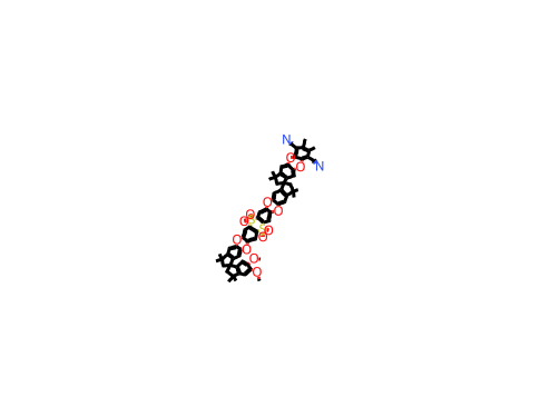 COc1cc2c(cc1OC)C1(CC2(C)C)CC(C)(C)c2cc3c(cc21)Oc1cc2c(cc1O3)S(=O)(=O)c1cc3c(cc1S2(=O)=O)Oc1cc2c(cc1O3)C1(CC2(C)C)CC(C)(C)c2cc3c(cc21)Oc1c(C#N)c(C)c(C)c(C#N)c1O3